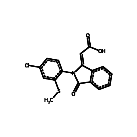 CSc1cc(Cl)ccc1N1C(=O)c2ccccc2C1=CC(=O)O